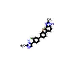 Cc1ncc(-c2ccc(-c3ccc4c(c3)sc3c4ccc4[nH]c(C)nc43)cc2F)[nH]1